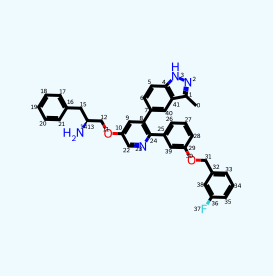 Cc1n[nH]c2ccc(-c3cc(OC[C@@H](N)Cc4ccccc4)cnc3-c3cccc(OCc4cccc(F)c4)c3)cc12